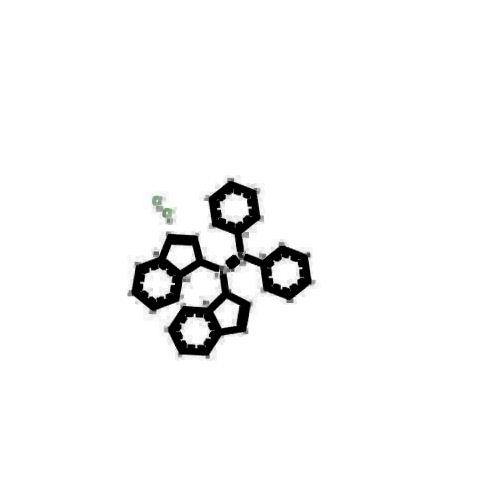 C1=C[CH]([Ti+2]([CH]2C=Cc3ccccc32)=[Si](c2ccccc2)c2ccccc2)c2ccccc21.[Cl-].[Cl-]